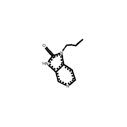 CCCn1c(=O)[nH]c2cnccc21